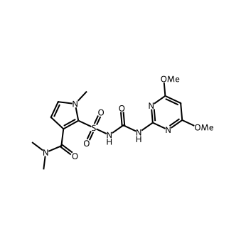 COc1cc(OC)nc(NC(=O)NS(=O)(=O)c2c(C(=O)N(C)C)ccn2C)n1